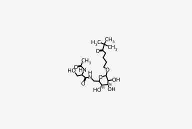 CC(=O)NC(CO)C(=O)NCC1OC(OCCCCC(=O)C(C)(C)C)C(O)[C@@H](O)[C@H]1O